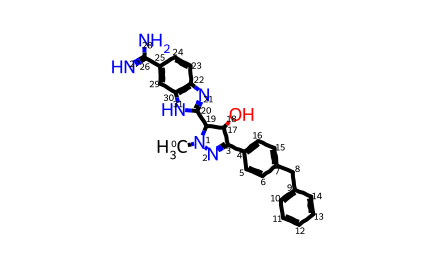 CN1N=C(c2ccc(Cc3ccccc3)cc2)C(O)C1c1nc2ccc(C(=N)N)cc2[nH]1